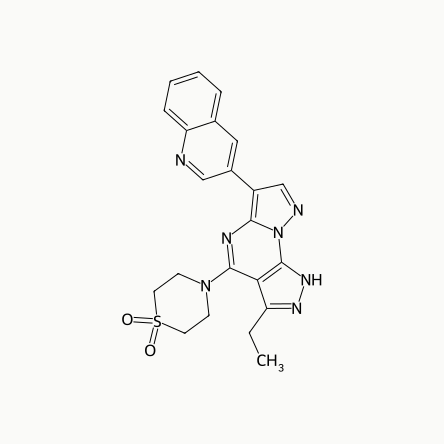 CCc1n[nH]c2c1c(N1CCS(=O)(=O)CC1)nc1c(-c3cnc4ccccc4c3)cnn12